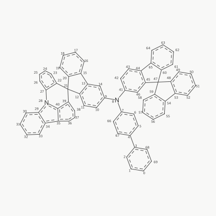 c1ccc(-c2ccc(N(c3ccc4c(c3)-c3ccccc3C43c4ccccc4-n4c5ccccc5c5cccc3c54)c3ccc4c(c3)C3(c5ccccc5-c5ccccc53)c3ccccc3-4)cc2)cc1